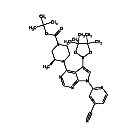 C[C@@H]1CN(c2ncnc3c2c(B2OC(C)(C)C(C)(C)O2)cn3-c2cc(C#N)ccn2)[C@@H](C)CN1C(=O)OC(C)(C)C